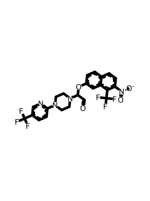 O=CC(Oc1ccc2ccc([N+](=O)[O-])c(C(F)(F)F)c2c1)N1CCN(c2ccc(C(F)(F)F)cn2)CC1